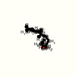 Cc1ncsc1-c1ccc([C@H](C)NC(=O)[C@@H]2C[C@@H](O)CN2C(=O)[C@@H](NC(=O)COCCN(C)CCOCC(=O)N2CCN(CC[C@H](CSc3ccccc3)Nc3ccc(S(=O)(=O)NC(=O)c4ccc5c(c4)CCC4CN(CC6=C(c7ccc(Cl)cc7)CCC(C)(C)C6)CCN54)cc3S(=O)(=O)C(F)(F)F)CC2)C(C)(C)C)cc1